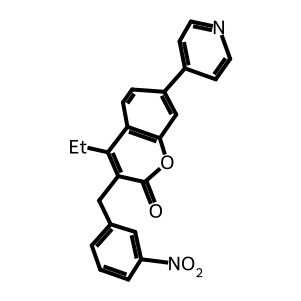 CCc1c(Cc2cccc([N+](=O)[O-])c2)c(=O)oc2cc(-c3ccncc3)ccc12